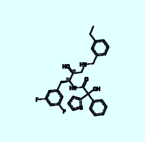 CCc1cccc(CNC[C@H](O)[C@H](Cc2cc(F)cc(F)c2)NC(=O)C(O)(c2ccccc2)c2cccs2)c1